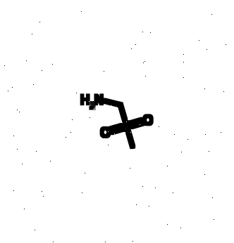 CS(=O)(=O)CN